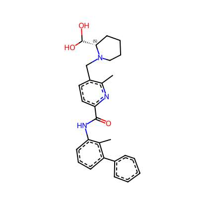 Cc1nc(C(=O)Nc2cccc(-c3ccccc3)c2C)ccc1CN1CCCC[C@H]1C(O)O